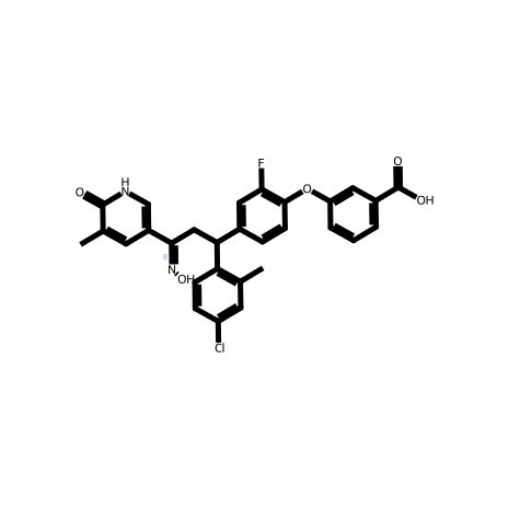 Cc1cc(Cl)ccc1C(C/C(=N\O)c1c[nH]c(=O)c(C)c1)c1ccc(Oc2cccc(C(=O)O)c2)c(F)c1